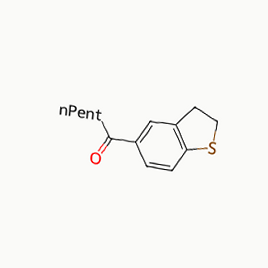 CCCCCC(=O)c1ccc2c(c1)CCS2